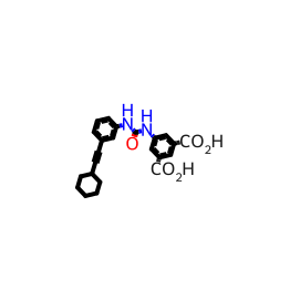 O=C(Nc1cccc(C#CC2CCCCC2)c1)Nc1cc(C(=O)O)cc(C(=O)O)c1